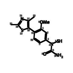 COc1cc(N(S)C(N)=O)ccc1-c1sc(C)nc1C